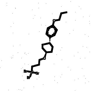 CCCOc1ccc([C@H]2CC[C@H](OCCC[Si](Br)(Br)Br)CC2)cc1